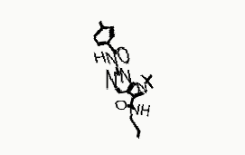 CCCNC(=O)c1cn(C(C)(C)C)c2nc(NC(=O)c3ccc(C)cc3)ncc12